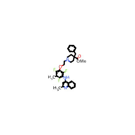 COC(=O)C1(Cc2ccccc2)CCN(CCOc2c(F)c(C)c(F)c(Nc3cc(C)nc4ccccc34)c2F)CC1